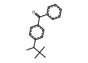 CC(c1ccc(C(=O)c2ccccc2)cc1)C(C)(C)C